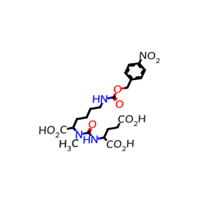 CN(C(=O)NC(CCC(=O)O)C(=O)O)C(CCCCNC(=O)OCc1ccc([N+](=O)[O-])cc1)C(=O)O